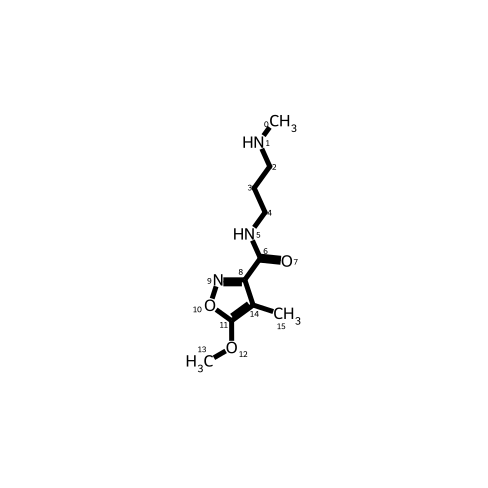 CNCCCNC(=O)c1noc(OC)c1C